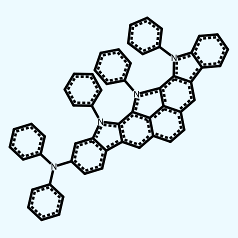 c1ccc(N(c2ccccc2)c2ccc3c4cc5ccc6cc7c8ccccc8n(-c8ccccc8)c7c7c6c5c(c4n(-c4ccccc4)c3c2)n7-c2ccccc2)cc1